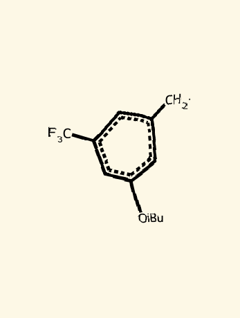 [CH2]c1cc(OCC(C)C)cc(C(F)(F)F)c1